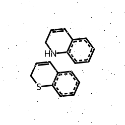 C1=Cc2ccccc2NC1.C1=Cc2ccccc2SC1